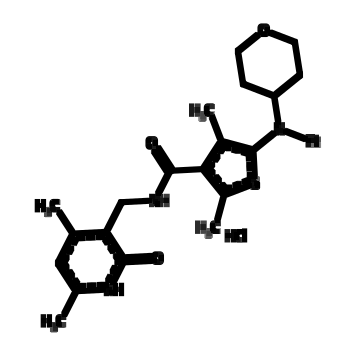 CCN(c1sc(C)c(C(=O)NCc2c(C)cc(C)[nH]c2=O)c1C)C1CCOCC1.Cl